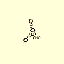 O=[C]C(Oc1ccc(OCc2ccccc2)cc1)C(=O)COc1ccc(F)cc1